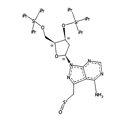 CC(C)[Si](OC[C@@H]1O[C@H](n2nc(C[S+]=O)c3c(N)ncnc32)C[C@@H]1O[Si](C(C)C)(C(C)C)C(C)C)(C(C)C)C(C)C